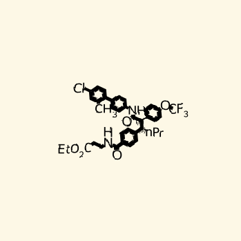 CCC[C@H](c1ccc(C(=O)NCCC(=O)OCC)cc1)[C@@H](C(=O)Nc1ccc(-c2ccc(Cl)cc2C)cc1)c1ccc(OC(F)(F)F)cc1